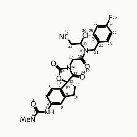 CNC(=O)Nc1ccc2c(c1)CC[C@@]21OC(=O)N(CC(=O)N(Cc2ccc(F)cc2)C(C)CC#N)C1=O